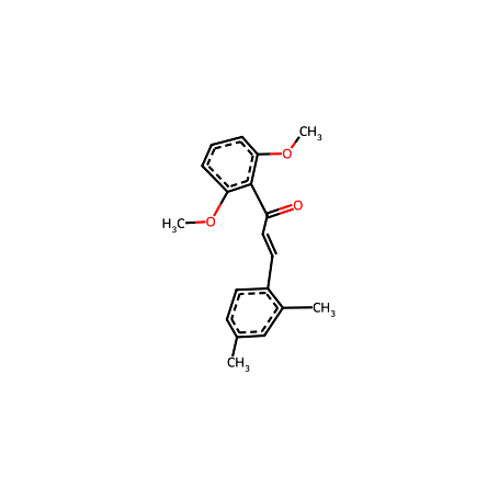 COc1cccc(OC)c1C(=O)/C=C/c1ccc(C)cc1C